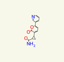 NC(=O)C1CC1c1ccc(-c2cccnc2)oc1=O